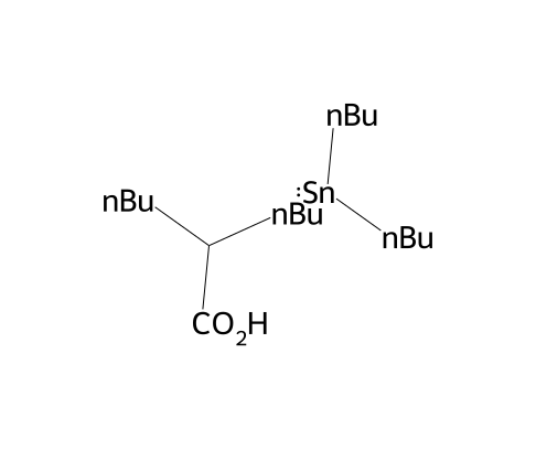 CCCCC(CCCC)C(=O)O.CCC[CH2][Sn][CH2]CCC